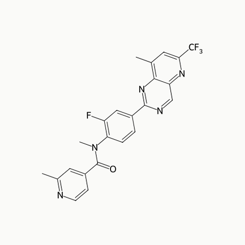 Cc1cc(C(=O)N(C)c2ccc(-c3ncc4nc(C(F)(F)F)cc(C)c4n3)cc2F)ccn1